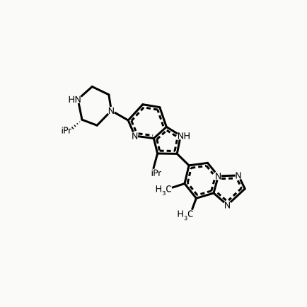 Cc1c(-c2[nH]c3ccc(N4CCN[C@@H](C(C)C)C4)nc3c2C(C)C)cn2ncnc2c1C